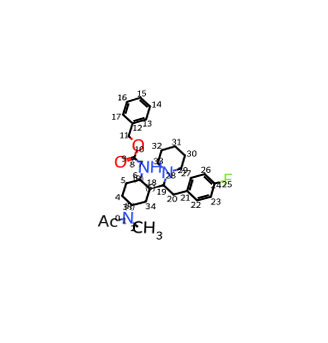 CC(=O)N(C)[C@@H]1CC[C@@H](NC(=O)OCc2ccccc2)[C@@H](C(Cc2ccc(F)cc2)N2CCCCC2)C1